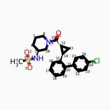 CS(=O)(=O)N[C@H]1CCCN(C(=O)[C@@H]2C[C@H]2c2ccccc2-c2ccc(Cl)cc2)C1